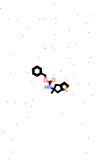 CC1(NC(=O)OCc2ccccc2)Cc2ccsc2C1